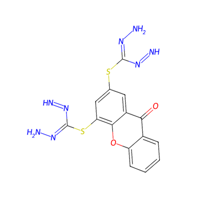 N=NC(=NN)Sc1cc(SC(N=N)=NN)c2oc3ccccc3c(=O)c2c1